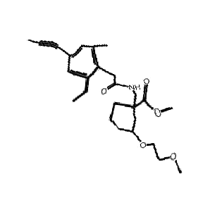 CC#Cc1cc(C)c(CC(=O)NC2(C(=O)OC)CCCC(OCCOC)C2)c(CC)c1